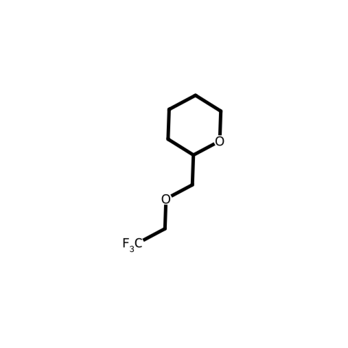 FC(F)(F)COCC1CCCCO1